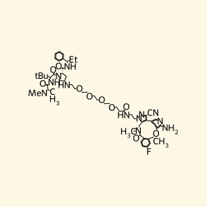 CC[C@@H](NC(=O)[C@@H]1C[C@H](NCCOCCOCCOCCOCCC(=O)NCCn2nc(C#N)c3c2CN(C)C(=O)c2ccc(F)cc2[C@@H](C)Oc2cc-3cnc2N)CN1C(=O)C(NC(=O)[C@H](C)NC)C(C)(C)C)c1ccccc1